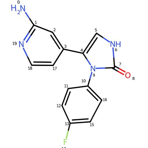 Nc1cc(-c2c[nH]c(=O)n2-c2ccc(F)cc2)ccn1